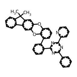 CC1(C)c2ccccc2-c2cc3c(cc21)Oc1cccc(-c2ccccc2-c2nc(-c4ccccc4)nc(-c4ccccn4)n2)c1O3